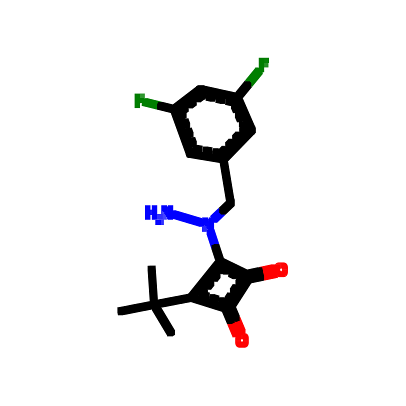 CC(C)(C)c1c(N(N)Cc2cc(F)cc(F)c2)c(=O)c1=O